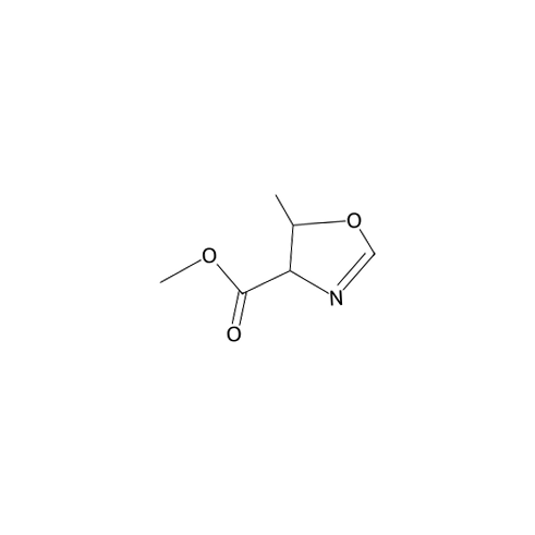 COC(=O)C1N=COC1C